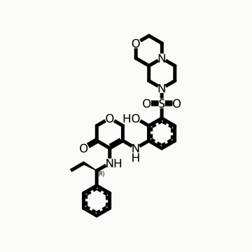 CC[C@@H](NC1=C(Nc2cccc(S(=O)(=O)N3CCN4CCOCC4C3)c2O)COCC1=O)c1ccccc1